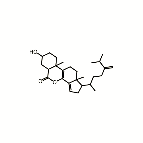 C=C(CCC(C)C1CC=C2C3=C(CCC21C)C1(C)CCC(O)CC1C(=O)O3)C(C)C